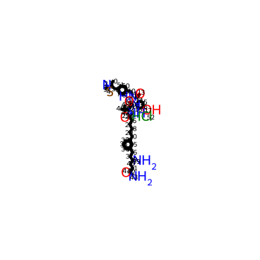 Cc1ncsc1-c1ccc(CNC(=O)[C@@H]2C[C@@H](O)CN2C(=O)[C@@H](NC(=O)CCCCCc2cccc(CC[C@@H](N)CCC(N)=O)c2)C(C)(C)C)cc1.Cl